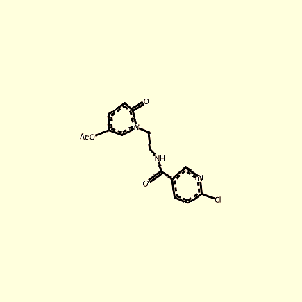 CC(=O)Oc1ccc(=O)n(CCNC(=O)c2ccc(Cl)nc2)c1